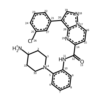 NC1CCN(c2ccccc2NC(=O)c2ccn3ncc(-c4cccc(Cl)c4)c3n2)CC1